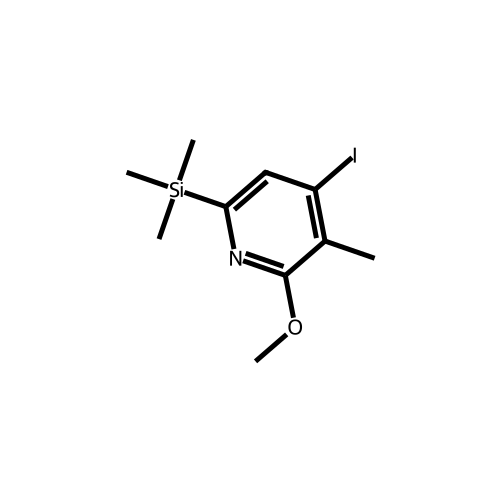 COc1nc([Si](C)(C)C)cc(I)c1C